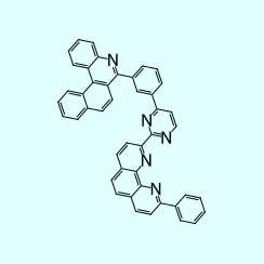 c1ccc(-c2ccc3ccc4ccc(-c5nccc(-c6cccc(-c7nc8ccccc8c8c7ccc7ccccc78)c6)n5)nc4c3n2)cc1